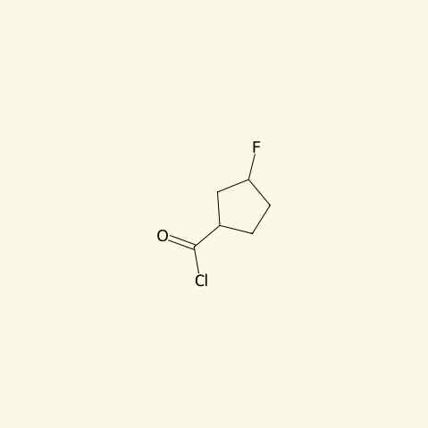 O=C(Cl)C1CCC(F)C1